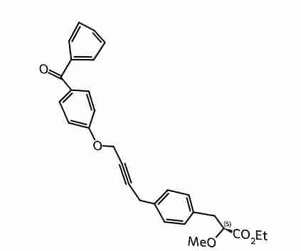 CCOC(=O)[C@H](Cc1ccc(CC#CCOc2ccc(C(=O)c3ccccc3)cc2)cc1)OC